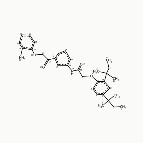 CCC(C)(C)c1ccc(OCC(=O)Nc2cccc(C(=O)COc3ccccc3N)c2)c(C(C)(C)CC)c1